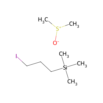 C[S+](C)[O-].C[Si](C)(C)CCCI